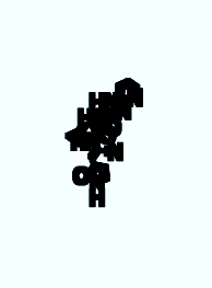 N#C[C@H](C[C@@H]1CCNC1=O)NC(=O)[C@H](CC1CC1)NC(=O)c1nc2ncccc2[nH]1